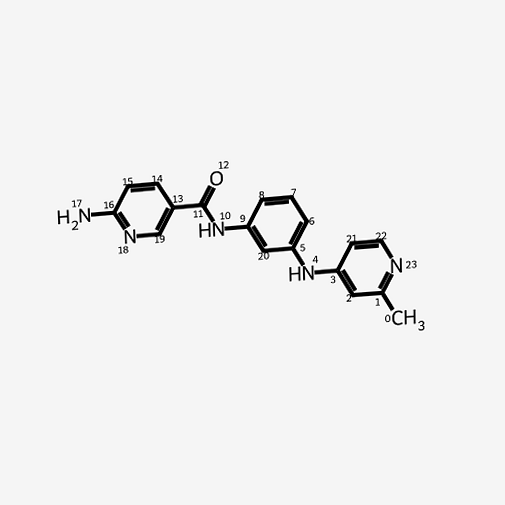 Cc1cc(Nc2cccc(NC(=O)c3ccc(N)nc3)c2)ccn1